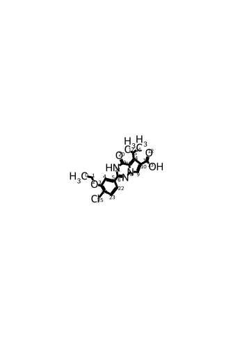 CCOc1cc(-c2nn3cc(C(=O)O)c(C(C)C)c3c(=O)[nH]2)ccc1Cl